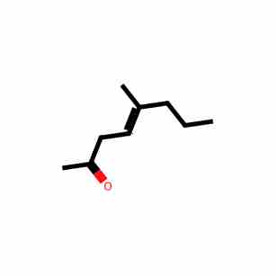 CCCC(C)=[C]CC(C)=O